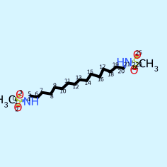 CS(=O)(=O)NCCCCCCCCCCCCCCCCNS(C)(=O)=O